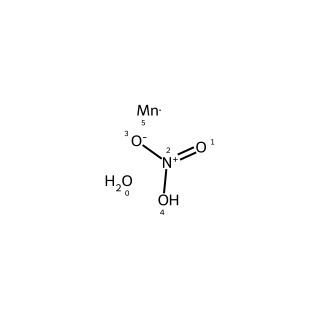 O.O=[N+]([O-])O.[Mn]